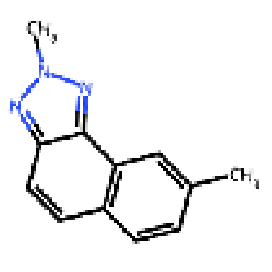 Cc1ccc2ccc3nn(C)nc3c2c1